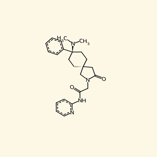 CN(C)[C@]1(c2ccccc2)CC[C@]2(CC1)CC(=O)N(CC(=O)Nc1ccccn1)C2